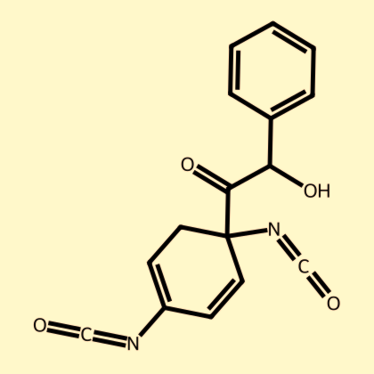 O=C=NC1=CCC(N=C=O)(C(=O)C(O)c2ccccc2)C=C1